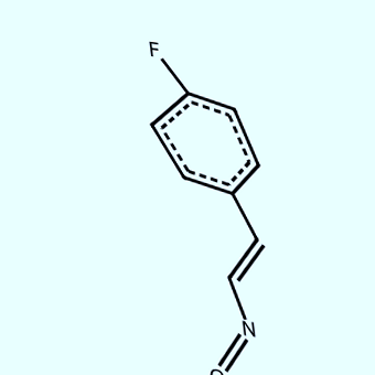 O=N/C=C/c1ccc(F)cc1